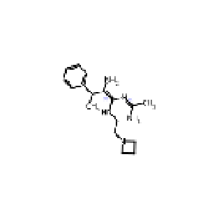 C/C(N)=N/C(NCCN1CCC1)=C(\N)C(C)c1ccccc1